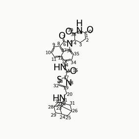 O=C1CCC(N2C(=O)c3cccc4c(NC(=O)c5nc(CNC67CC8CC(CC(C8)C6)C7)cs5)ccc2c34)C(=O)N1